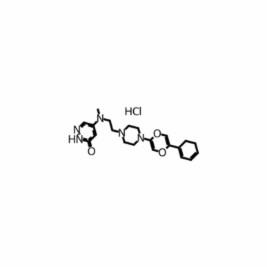 CN(CCN1CCN(C2=COC(C3=CC=CCC3)=CO2)CC1)c1cn[nH]c(=O)c1.Cl